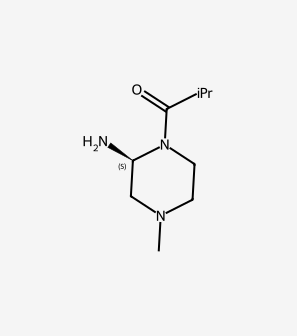 CC(C)C(=O)N1CCN(C)C[C@H]1N